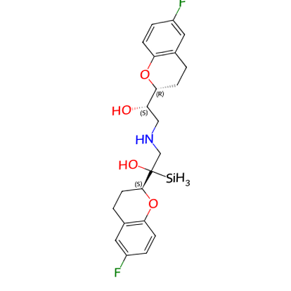 O[C@@H](CNCC(O)([SiH3])[C@@H]1CCc2cc(F)ccc2O1)[C@H]1CCc2cc(F)ccc2O1